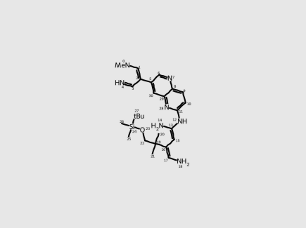 CN/C=C(\C=N)c1cnc2ccc(N/C(N)=C/C(=C\N)C(C)(C)CO[Si](C)(C)C(C)(C)C)nc2c1